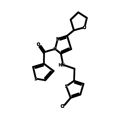 O=C(c1ccsc1)n1nc(C2CCCO2)cc1NCc1ccc(Cl)s1